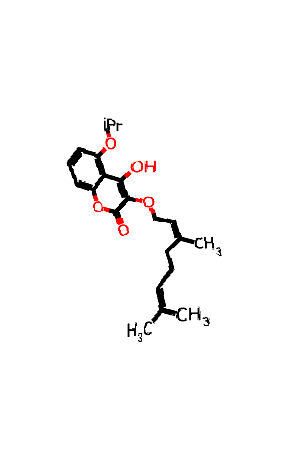 CC(C)=CCCC(C)=CCOc1c(O)c2c(OC(C)C)cccc2oc1=O